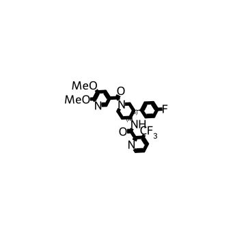 COc1cc(C(=O)N2CC[C@@H](NC(=O)c3ncccc3C(F)(F)F)[C@@H](c3ccc(F)cc3)C2)cnc1OC